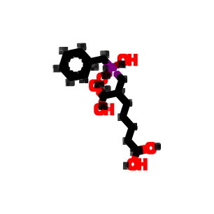 O=C(O)CCCCC(CP(=O)(O)Cc1ccccc1)C(=O)O